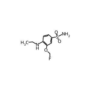 CCNc1ccc(S(N)(=O)=O)cc1OCF